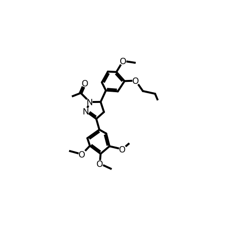 CCCOc1cc(C2CC(c3cc(OC)c(OC)c(OC)c3)=NN2C(C)=O)ccc1OC